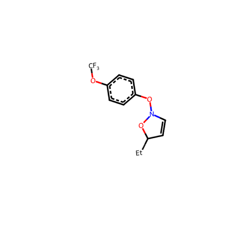 CCC1C=CN(Oc2ccc(OC(F)(F)F)cc2)O1